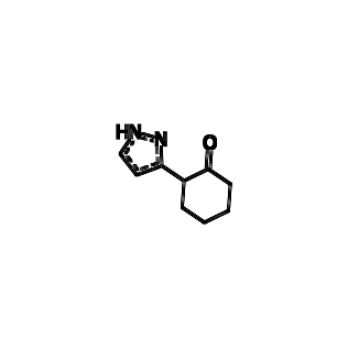 O=C1CCCCC1c1cc[nH]n1